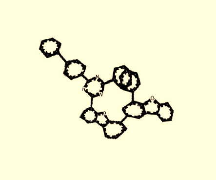 c1ccc(-c2ccc(-c3nc(-c4ccccc4)nc(-c4cccc5c4oc4c(-c6cc(-c7ccccc7)c7oc8ccccc8c7c6)cccc45)n3)cc2)cc1